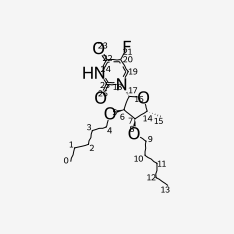 CCCCCO[C@@H]1[C@H](OCCCCC)[C@@H](C)O[C@H]1n1cc(F)c(=O)[nH]c1=O